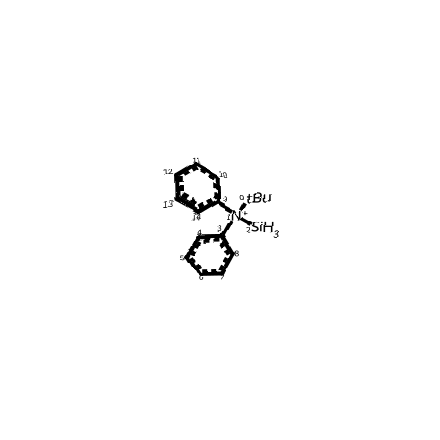 CC(C)(C)[N+]([SiH3])(c1ccccc1)c1ccccc1